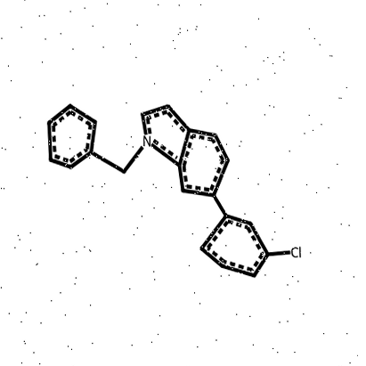 Clc1cccc(-c2ccc3ccn(Cc4ccccc4)c3c2)c1